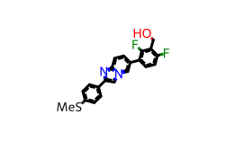 CSc1ccc(-c2cn3cc(-c4ccc(F)c(CO)c4F)ccc3n2)cc1